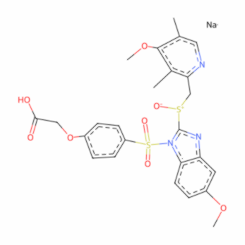 COc1ccc2c(c1)nc([S+]([O-])Cc1ncc(C)c(OC)c1C)n2S(=O)(=O)c1ccc(OCC(=O)O)cc1.[Na]